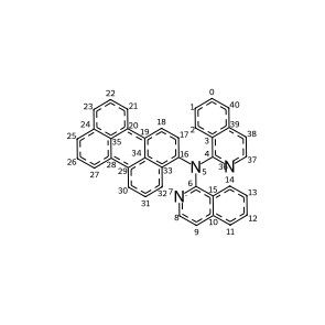 c1ccc2c(N(c3nccc4ccccc34)c3ccc4c5cccc6cccc(c7cccc3c74)c65)nccc2c1